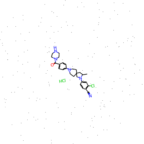 CC1CC2(CCN(c3ccc(C(=O)N4CCNCC4)cc3)CC2)CN1c1ccc(C#N)c(Cl)c1.Cl